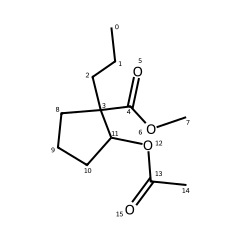 CCCC1(C(=O)OC)CCCC1OC(C)=O